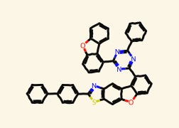 c1ccc(-c2ccc(-c3nc4cc5c(cc4s3)oc3cccc(-c4nc(-c6ccccc6)nc(-c6cccc7oc8ccccc8c67)n4)c35)cc2)cc1